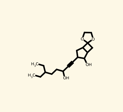 CCC(CC)CCC(O)C#CC1CC2C(CC23OCCO3)C1O